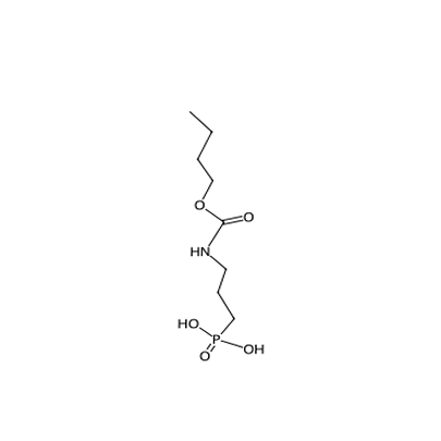 CCCCOC(=O)NCCCP(=O)(O)O